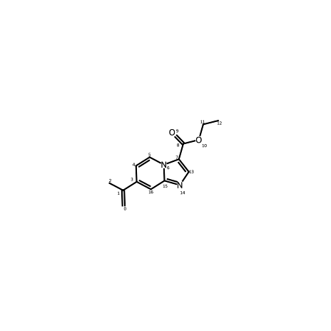 C=C(C)c1ccn2c(C(=O)OCC)cnc2c1